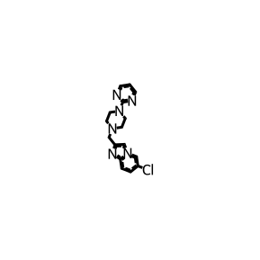 Clc1ccc2nc(CN3CCN(c4ncccn4)CC3)cn2c1